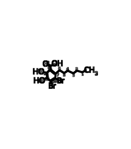 CCCCCCCc1c(Br)c(Br)c(O)c(O)c1C(=O)O